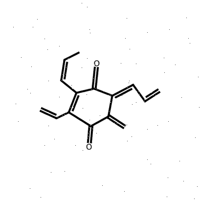 C=C/C=C1\C(=C)C(=O)C(C=C)=C(/C=C\C)C1=O